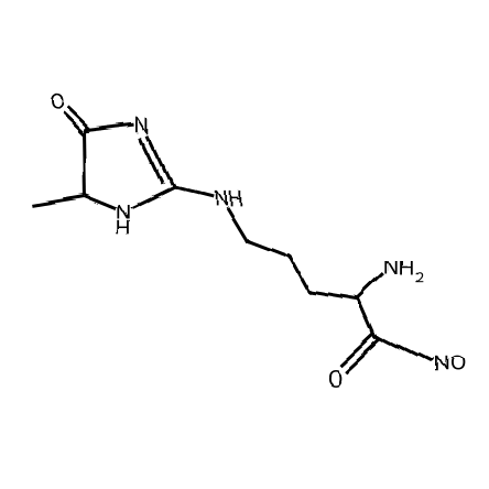 CC1NC(NCCCC(N)C(=O)N=O)=NC1=O